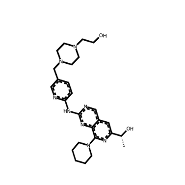 C[C@@H](O)c1cc2cnc(Nc3ccc(CN4CCN(CCO)CC4)cn3)nc2c(N2CCCCC2)n1